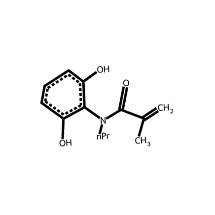 C=C(C)C(=O)N(CCC)c1c(O)cccc1O